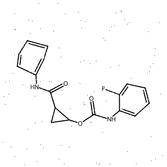 O=C(Nc1ccccc1F)OC1CC1C(=O)Nc1ccccc1